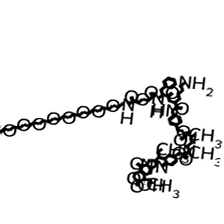 CCc1c2c(nc3ccc(OC(=O)N(C)CCN(C)C(=O)OCc4ccc(NC(=O)C(CCCCN)CC(=O)C(Cc5ccccc5)NC(=O)COCC(=O)NCCOCCOCCOCCOCCOCCOCCOCCOCCN=[N+]=[N-])cc4)cc13)-c1cc3c(c(=O)n1C2)COC(=O)[C@]3(O)CC